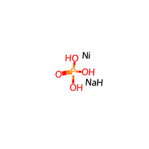 O=P(O)(O)O.[NaH].[Ni]